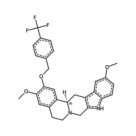 COc1ccc2[nH]c3c(c2c1)C[C@@H]1c2cc(OCc4ccc(C(F)(F)F)cc4)c(OC)cc2CCN1C3